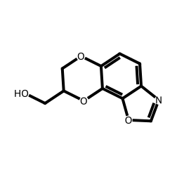 OCC1COc2ccc3ncoc3c2O1